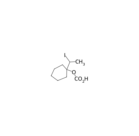 CC(I)C1(OC(=O)O)CCCCC1